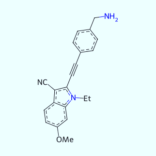 CCn1c(C#Cc2ccc(CN)cc2)c(C#N)c2ccc(OC)cc21